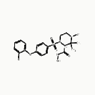 CC1(C)[C@@H](C(=O)NO)N(S(=O)(=O)c2ccc(Oc3ccccc3Br)cc2)CC[S+]1[O-]